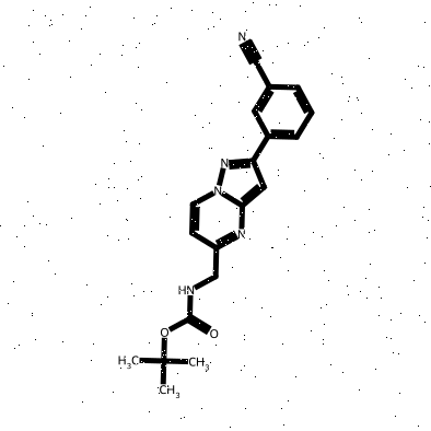 CC(C)(C)OC(=O)NCc1ccn2nc(-c3cccc(C#N)c3)cc2n1